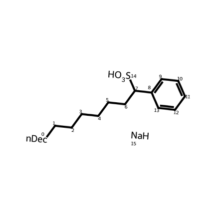 CCCCCCCCCCCCCCCCC(c1ccccc1)S(=O)(=O)O.[NaH]